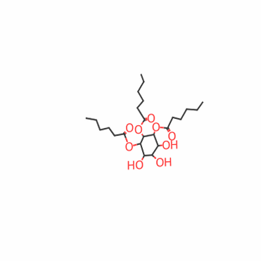 CCCCCC(=O)OC1C(O)C(O)C(O)C(OC(=O)CCCCC)C1OC(=O)CCCCC